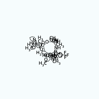 CC[C@H]1OC(=O)[C@H](C)[C@@H](O[C@H]2C[C@@](C)(OC)[C@](O)(CN3CCCCC3)[C@H](C)O2)[C@H](C)[C@@H](O[C@@H]2O[C@H](C)C[C@H](N(C)S(=O)(=O)Nc3ccc(C(F)(F)F)cc3)[C@H]2O)[C@](C)(O)C[C@@H](C)CN[C@H](C)[C@@H](O)[C@]1(C)O